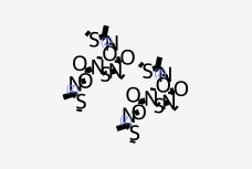 CS/C(C)=N\OC(=O)N(C)SN(C)C(=O)O/N=C(/C)SC.CS/C(C)=N\OC(=O)N(C)SN(C)C(=O)O/N=C(/C)SC